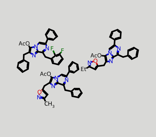 CC(=O)Oc1c(Cc2cc(C)no2)nc2c(Cc3ccccc3)nc(-c3ccccc3)cn12.CC(=O)Oc1c(Cc2ccccc2)nc2c(Cc3cccc(F)c3F)nc(-c3ccccc3)cn12.CCc1cc(Cc2nc3c(Cc4ccccc4)nc(-c4ccccc4)cn3c2OC(C)=O)on1